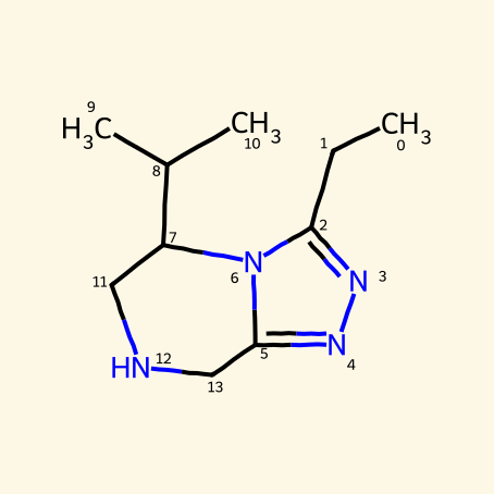 CCc1nnc2n1C(C(C)C)CNC2